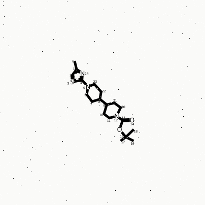 Cc1csc(N2CCC(C3CCN(C(=O)OC(C)(C)C)CC3)CC2)n1